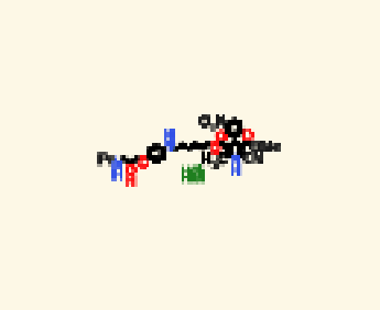 COC(=O)C1=C(C#N)NC(C)=C(C(=O)OCCCCCCNc2ccc(OCC(O)CNC(C)C)cc2)C1c1cccc([N+](=O)[O-])c1.Cl.Cl